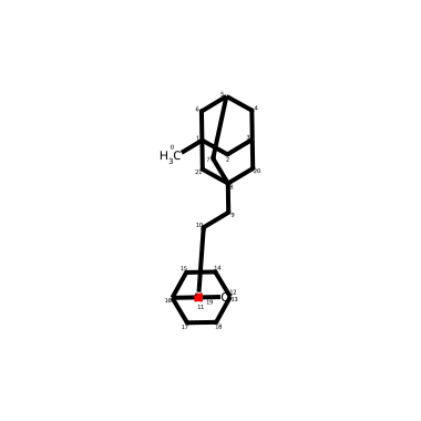 CC12CC3CC(C1)CC(CCN1CC4CCC(CC4)C1)(C3)C2